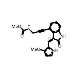 COC(=O)NCC#Cc1cccc2c1/C(=C/c1[nH]ccc1OC)C(=O)N2